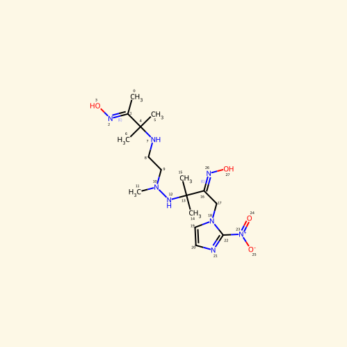 C/C(=N\O)C(C)(C)NCCN(C)NC(C)(C)/C(Cn1ccnc1[N+](=O)[O-])=N/O